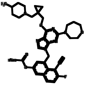 C#Cc1c(F)ccc2cc(OC(=O)CCCCCCCCC)cc(Cn3cnc4c(OCC5(CN6CCC(C(F)(F)F)CC6)CC5)nc(N5CCCOCC5)nc43)c12